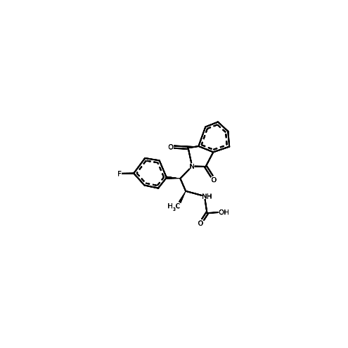 C[C@H](NC(=O)O)[C@@H](c1ccc(F)cc1)N1C(=O)c2ccccc2C1=O